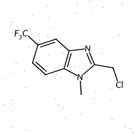 Cn1c(CCl)nc2cc(C(F)(F)F)ccc21